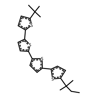 CCC(C)(C)c1ccc(-c2ccc(-c3ccc(-c4ccc(C(C)(C)C)s4)s3)s2)s1